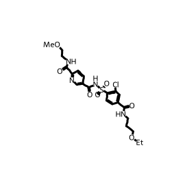 CCOCCCNC(=O)c1ccc(S(=O)(=O)NC(=O)c2ccc(C(=O)NCCOC)nc2)c(Cl)c1